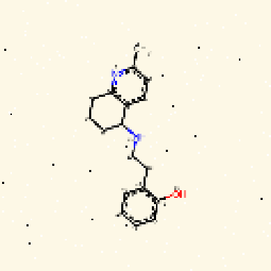 Cc1ccc2c(n1)CCCC2NCCc1ccccc1O